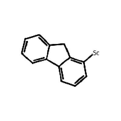 [Sc][c]1cccc2c1Cc1ccccc1-2